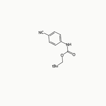 CC(C)(C)COC(=O)Nc1ccc(C#N)cc1